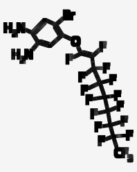 Nc1cc(Br)c(OC(F)=C(F)C(F)(F)C(F)(F)C(F)(F)C(F)(F)C(F)(F)C(F)(F)C(F)(F)F)cc1N